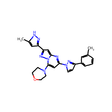 Cc1cccc(-c2ccn(-c3cc(N4CCOCC4)n4nc(-c5cc(C)[nH]n5)cc4n3)n2)c1